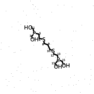 OCP(CO)CCSCCCSCCP(CO)CO